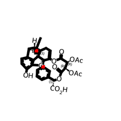 CC(=O)O[C@@H](C(=O)OC1=CC[C@@]2(O)[C@H]3Cc4ccc(O)c5c4[C@@]2(CCN3C)[C@H]1O5)[C@@H](OC(C)=O)C(=O)O[C@H](C(=O)O)c1ccccc1